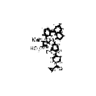 CCc1nc(NC2CCc3cccc(-c4cccc(-n5ncc(C(=O)O)c5NC)c4)c32)ccc1C1=CCN(C(=O)C2CC2)CC1